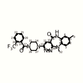 Cc1ccc2c(c1)NC(=O)c1cc(N3CCN(C(=O)c4ccccc4C(F)(F)F)CC3)nnc1N2C